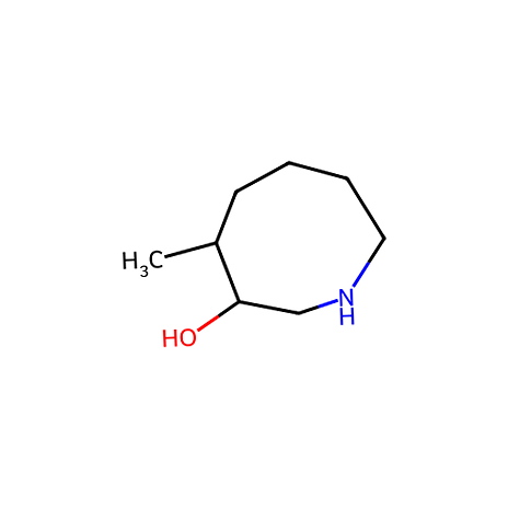 CC1CCCCNCC1O